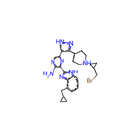 BrCC1CC1.Nc1ncc(-c2c[nH]nc2C2CCNCC2)nc1-c1nc2c(CC3CC3)cccc2[nH]1